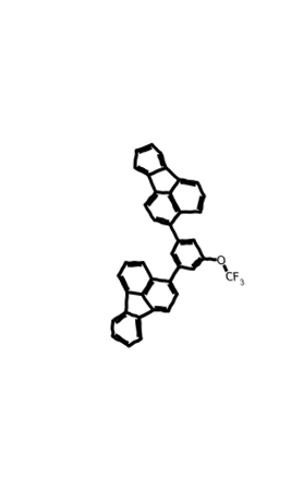 FC(F)(F)Oc1cc(-c2ccc3c4c(cccc24)-c2ccccc2-3)cc(-c2ccc3c4c(cccc24)-c2ccccc2-3)c1